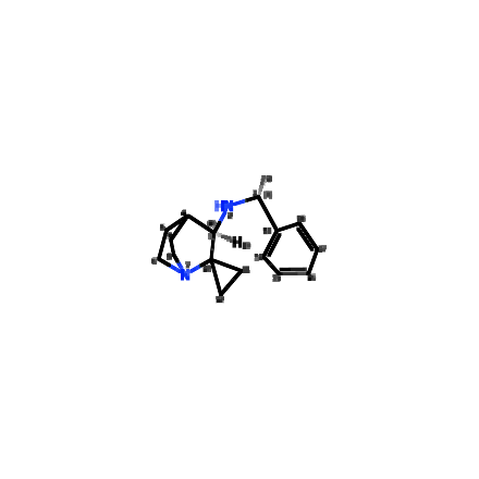 C[C@@H](N[C@@H]1C2CCN(CC2)C12CC2)c1ccccc1